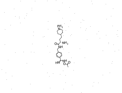 CC(=O)ONC(=N)c1ccc(CNC(=O)[C@@H](N)CCC2CCN(P)CC2)cc1